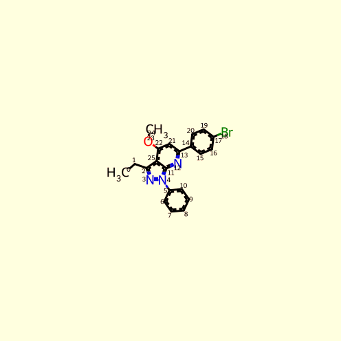 CCc1nn(-c2ccccc2)c2nc(-c3ccc(Br)cc3)cc(OC)c12